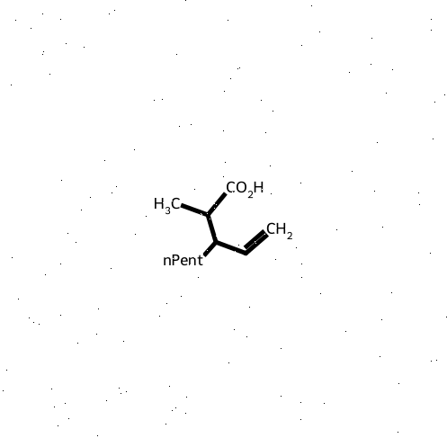 C=CC(CCCCC)C(C)C(=O)O